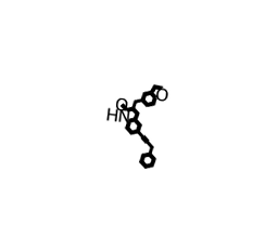 O=c1[nH]c2ccc(C#CCc3ccccc3)cc2cc1Cc1ccc2occc2c1